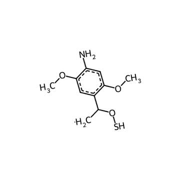 [CH2]C(OS)c1cc(OC)c(N)cc1OC